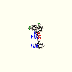 O=C(CCc1c[nH]c2ccccc12)Nc1nc(-c2cccc(F)c2)c(-c2cccc(F)c2)o1